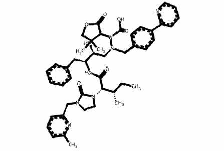 CC[C@H](C)[C@@H](C(=O)N[C@@H](Cc1ccccc1)[C@@H](O)CN(Cc1ccc(-c2ccccn2)cc1)N(C(=O)O)C1C(=O)OCC1(C)C)N1CCN(Cc2cccc(C)n2)C1=O